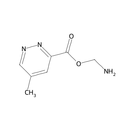 Cc1cnnc(C(=O)OCN)c1